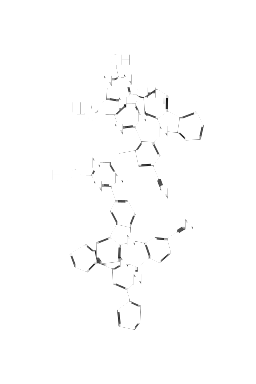 Cc1cc(C)nc(-c2c(Cc3nc(C)nc(-c4ccc5c(c4)c4ccccc4n5-c4cc(C#N)ccc4-c4nc(-c5ccccc5)cc(-c5ccccc5)n4)n3)cc(C#N)cc2-n2c3ccccc3c3ccc(-c4nc(C)nc(C)n4)cc32)n1